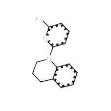 CC(C)c1cccc(N2CCCc3ccccc32)n1